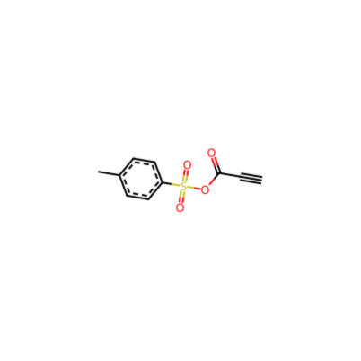 C#CC(=O)OS(=O)(=O)c1ccc(C)cc1